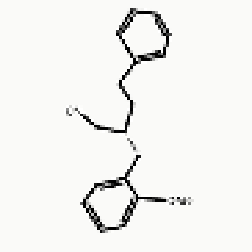 COc1ccccc1C[C@@H](CCc1ccccc1)CN=O